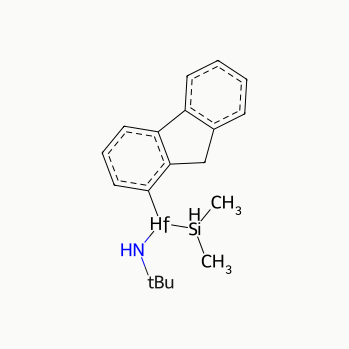 C[SiH](C)[Hf]([NH]C(C)(C)C)[c]1cccc2c1Cc1ccccc1-2